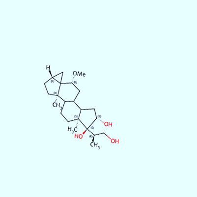 CO[C@@H]1CC2C3C[C@H](O)[C@](O)([C@H](C)CO)[C@@]3(C)CCC2[C@@]2(C)CC[C@@H]3CC312